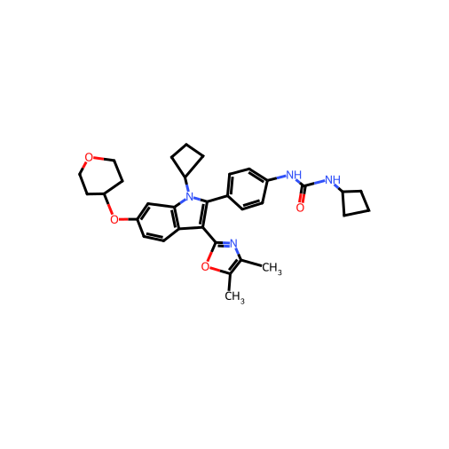 Cc1nc(-c2c(-c3ccc(NC(=O)NC4CCC4)cc3)n(C3CCC3)c3cc(OC4CCOCC4)ccc23)oc1C